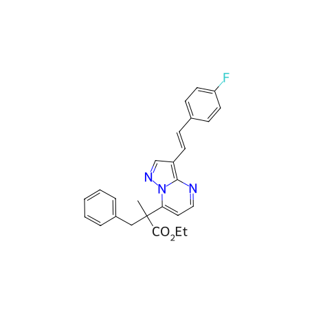 CCOC(=O)C(C)(Cc1ccccc1)c1ccnc2c(C=Cc3ccc(F)cc3)cnn12